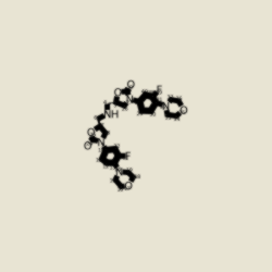 O=C1O[C@@H](CNC[C@H]2CN(c3ccc(N4CCOCC4)c(F)c3)C(=O)O2)CN1c1ccc(N2CCOCC2)c(F)c1